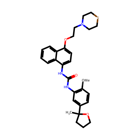 COc1ccc(C2(C)CCCO2)cc1NC(=O)Nc1ccc(OCCN2CCSCC2)c2ccccc12